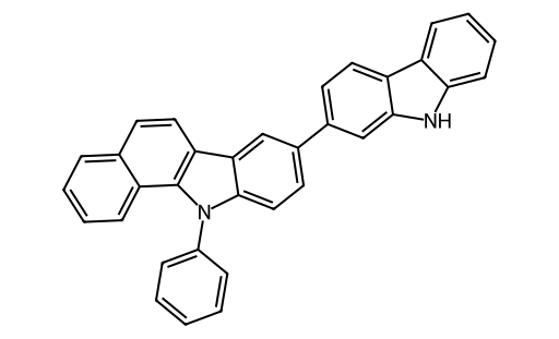 c1ccc(-n2c3ccc(-c4ccc5c(c4)[nH]c4ccccc45)cc3c3ccc4ccccc4c32)cc1